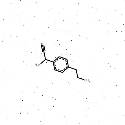 CCCc1ccc(C(N)C#N)cc1